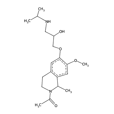 COc1cc2c(cc1OCC(O)CNC(C)C)CCN(C(C)=O)C2C